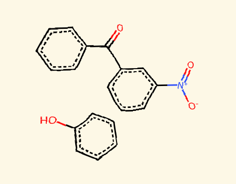 O=C(c1ccccc1)c1cccc([N+](=O)[O-])c1.Oc1ccccc1